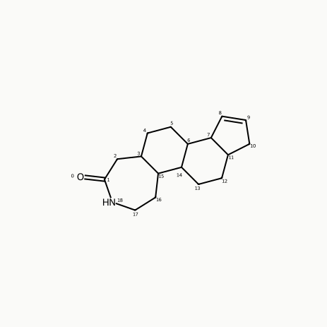 O=C1CC2CCC3C4C=CCC4CCC3C2CCN1